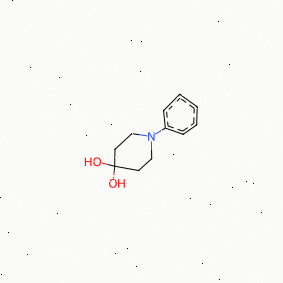 OC1(O)CCN(c2ccccc2)CC1